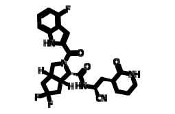 N#C[C@H](C[C@@H]1CCCNC1=O)NC(=O)[C@@H]1[C@@H]2CC(F)(F)C[C@@H]2CN1C(=O)c1cc2c(F)cccc2[nH]1